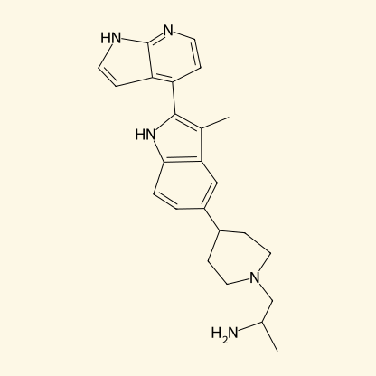 Cc1c(-c2ccnc3[nH]ccc23)[nH]c2ccc(C3CCN(CC(C)N)CC3)cc12